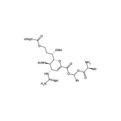 CCCCCCCC(=O)OCC[C@H](OC)[C@@H]1OC(C(=O)OC(OC(=O)[C@@H](N)C(C)C)C(C)C)=C[C@H](NC(=N)N)[C@H]1NC(C)=O